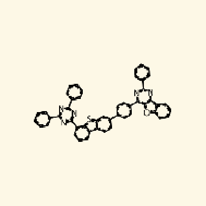 c1ccc(-c2nc(-c3ccccc3)nc(-c3cccc4c3sc3cc(-c5ccc(-c6nc(-c7ccccc7)nc7c6oc6ccccc67)cc5)ccc34)n2)cc1